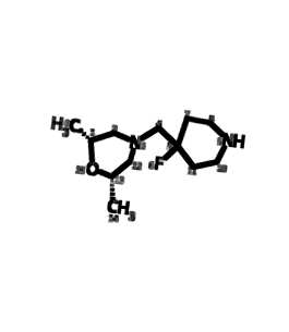 C[C@@H]1CN(CC2(F)CCNCC2)C[C@H](C)O1